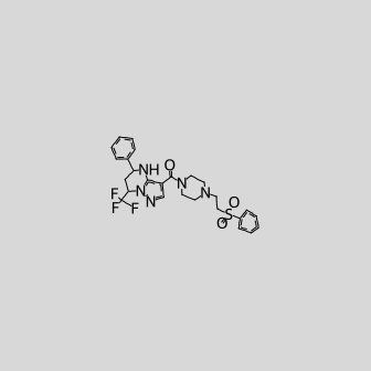 O=C(c1cnn2c1NC(c1ccccc1)CC2C(F)(F)F)N1CCN(CCS(=O)(=O)c2ccccc2)CC1